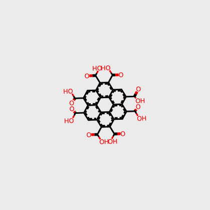 O=C(O)c1c(C(=O)O)c2cc(C(=O)O)c3c(C(=O)O)cc4c(C(=O)O)c(C(=O)O)c5cc(C(=O)O)c6c(C(=O)O)cc1c1c2c3c4c5c61